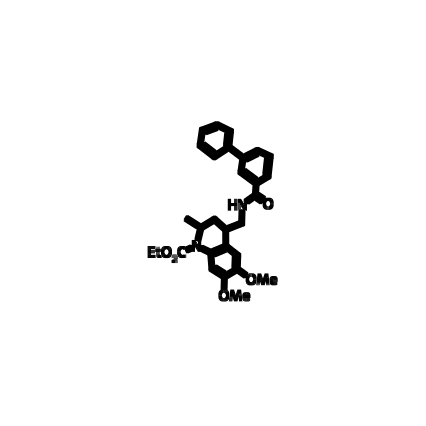 CCOC(=O)N1c2cc(OC)c(OC)cc2C(CNC(=O)c2cccc(-c3ccccc3)c2)CC1C